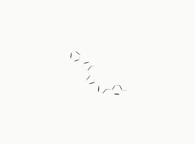 O=C(O)Cc1cc(-c2ccc(F)cc2)sc1-c1ccc(-c2sc(-c3ccc(F)cc3)cc2CC(=O)O)s1